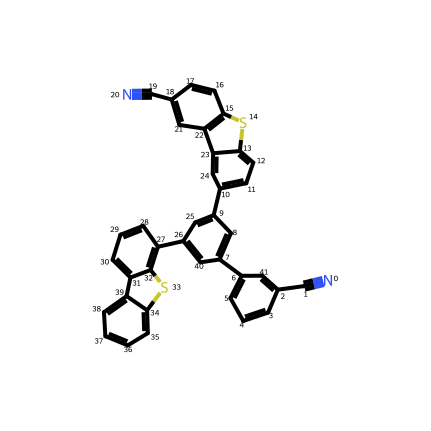 N#Cc1cccc(-c2cc(-c3ccc4sc5ccc(C#N)cc5c4c3)cc(-c3cccc4c3sc3ccccc34)c2)c1